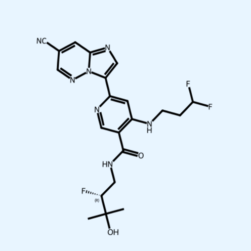 CC(C)(O)[C@H](F)CNC(=O)c1cnc(-c2cnc3cc(C#N)cnn23)cc1NCCC(F)F